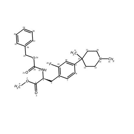 COC(=O)[C@H](Cc1ccc(C2(C)CCN(C)CC2)cc1F)NC(=O)OCc1ccccc1